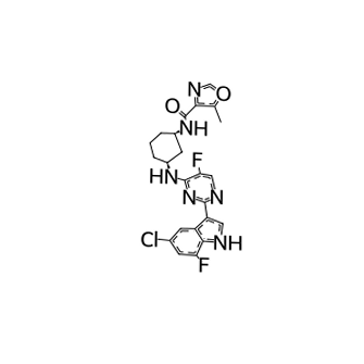 Cc1ocnc1C(=O)N[C@@H]1CCC[C@H](Nc2nc(-c3c[nH]c4c(F)cc(Cl)cc34)ncc2F)C1